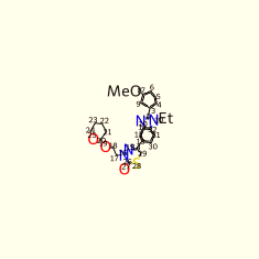 CCn1c(-c2cccc(OC)c2)nc2cc(C3=NN(CCOC4CCCCO4)C(=O)SC3)ccc21